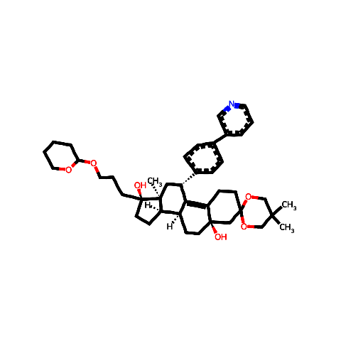 CC1(C)COC2(CCC3=C4[C@@H](CC[C@@]3(O)C2)[C@H]2CC[C@](O)(CCCOC3CCCCO3)[C@@]2(C)C[C@@H]4c2ccc(-c3cccnc3)cc2)OC1